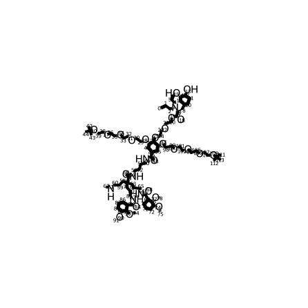 C=CCN(CC=C)[C@@H](Cc1ccc(O)c(O)c1)C(=O)OCCOCCOc1c(OCCOCCOCCOCCOC(C)(C)C)cc(C(=O)NCCCCNC(=O)C(CCCNC)(CCCNC(=O)c2cccc(OC)c2OC)CCCNC(=O)c2cccc(OC)c2OC)cc1OCCOCCOCCOCCOC(C)(C)C